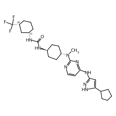 CN(c1nccc(Nc2cc(C3CCCC3)[nH]n2)n1)[C@H]1CC[C@H](NC(=O)N[C@H]2CCC[C@@H](C(F)(F)F)C2)CC1